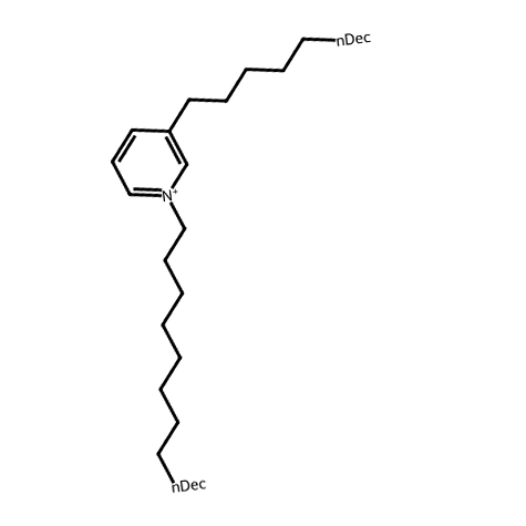 CCCCCCCCCCCCCCCCCC[n+]1cccc(CCCCCCCCCCCCCCC)c1